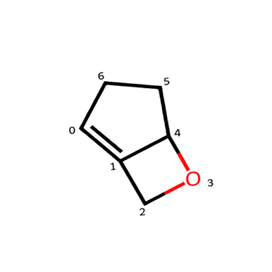 C1=C2COC2CC1